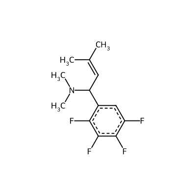 CC(C)=CC(c1cc(F)c(F)c(F)c1F)N(C)C